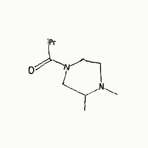 CC(C)C(=O)N1CCN(C)C(C)C1